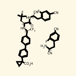 CC(C)(F)C[C@H](N[C@@H](c1ccc(-c2ccc(C3(C(=O)O)CC3)cc2)cc1)C(F)(F)F)C(=O)N[C@H](C#N)Cc1ccc(C#N)cc1F.N#Cc1ccc(C[C@H](N)C#N)c(F)c1